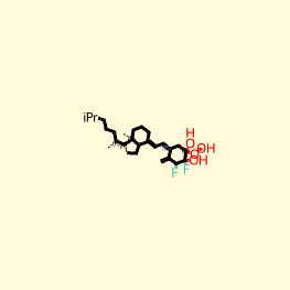 C=C1/C(=C\C=C2CCC[C@@]3(C)C2CC[C@@H]3[C@H](C)CCCC(C)C)C[C@@](O)(OO)C(O)(F)C1F